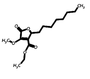 CCCCCCCCC1OC(=O)C(OC)=C1C(=O)OCC